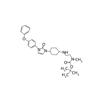 CN(CCNC1CCC(n2ccn(-c3ccc(Oc4ccccc4)cc3)c2=O)CC1)C(=O)OC(C)(C)C